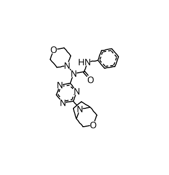 O=C(Nc1ccccc1)N(c1ncnc(N2C3CCC2COC3)n1)N1CCOCC1